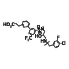 CN(C[C@H](O)CNC(C)(C)Cc1ccc(Cl)c(F)c1)S(=O)(=O)c1cc(-c2cccc(CCC(=O)O)c2)cc(C(F)(F)F)c1